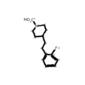 O=C(O)N1CCC(CCc2ccccc2F)CC1